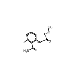 Cc1cccc(NC(=O)OOC(C)(C)C)c1C(N)=O